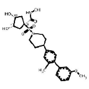 COc1cccc(-c2ccc(C3CCN(S(=O)(=O)[C@]4(C(=O)NO)C[C@@H](O)[C@@H](O)C4)CC3)cc2C)c1